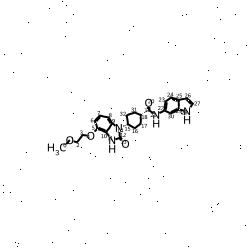 COCCOc1cccc2c1[nH]c(=O)n2[C@H]1CC[C@@H](C(=O)Nc2ccc3cc[nH]c3c2)CC1